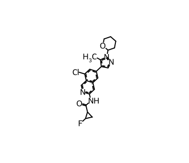 Cc1c(-c2cc(Cl)c3cnc(NC(=O)C4CC4F)cc3c2)cnn1C1CCCCO1